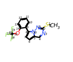 CSc1ncc2ccc(-c3ccccc3OC(F)(F)F)n2n1